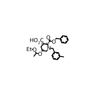 CCOC(C)O[C@@H]1C[C@H](C(=O)O)[C@@H](C(=O)OCc2ccccc2)N(Cc2cccc(C)c2)C1